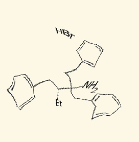 Br.CCC(Cc1ccccc1)C(N)(Cc1ccccc1)Cc1ccccc1